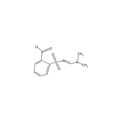 CN(C)C=NS(=O)(=O)c1ccccc1C(=O)Cl